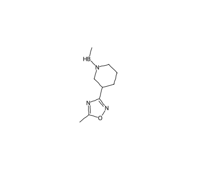 CBN1CCCC(c2noc(C)n2)C1